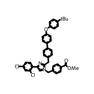 COC(=O)c1ccc(Cn2cc(-c3ccc(Cl)cc3Cl)nc2Cc2ccc(-c3ccc(Oc4ccc(C(C)(C)C)cc4)cc3)cc2)cc1